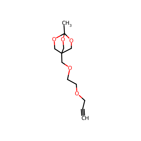 C#CCOCCOCC12COC(C)(OC1)OC2